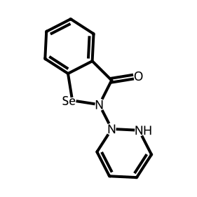 O=c1c2ccccc2[se]n1N1C=CC=CN1